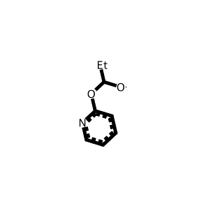 CCC([O])Oc1ccccn1